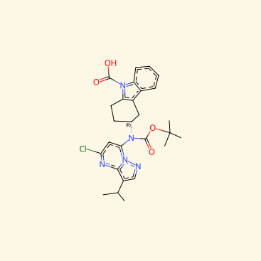 CC(C)c1cnn2c(N(C(=O)OC(C)(C)C)[C@@H]3CCc4c(c5ccccc5n4C(=O)O)C3)cc(Cl)nc12